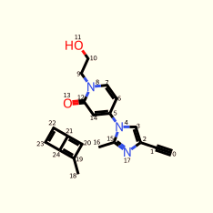 C#Cc1cn(-c2ccn(CCO)c(=O)c2)c(C)n1.Cc1cc2ccc1-2